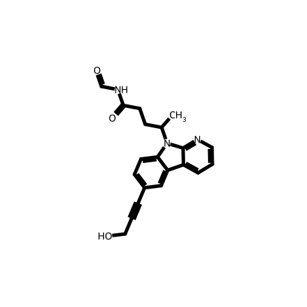 CC(CCC(=O)NC=O)n1c2ccc(C#CCO)cc2c2cccnc21